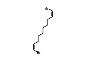 Br/C=C\CCCCCC/C=C\Br